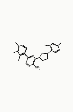 Cc1ccc(C2CCC(c3nc(-c4ccc(C)c(C)c4C)cnc3N)C2)c(C)c1